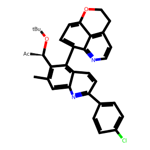 CC(=O)[C@@H](OC(C)(C)C)c1c(C)cc2nc(-c3ccc(Cl)cc3)ccc2c1-c1ccc2c3c(ccnc13)CCO2